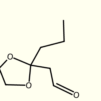 CCCC1(CC=O)OCCO1